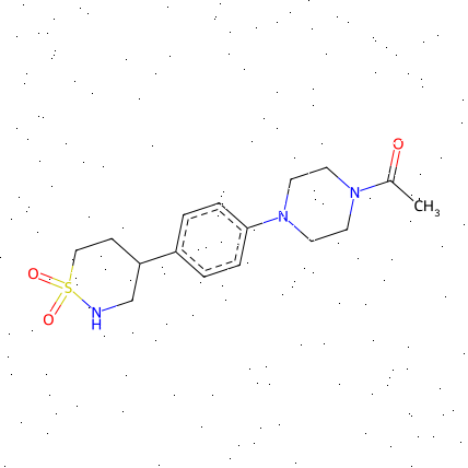 CC(=O)N1CCN(c2ccc(C3CCS(=O)(=O)NC3)cc2)CC1